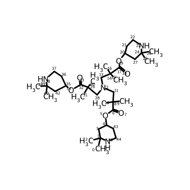 CC1(C)CC(OC(=O)C(C)(C)CN(CC(C)(C)C(=O)OC2CCNC(C)(C)C2)CC(C)(C)C(=O)OC2CCNC(C)(C)C2)CCN1